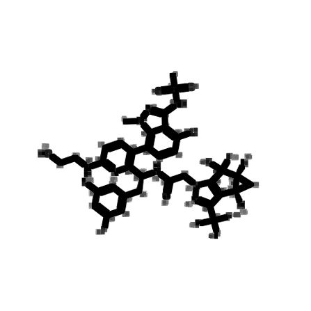 Cn1nc(NS(C)(=O)=O)c2c(Cl)ccc(-c3ccc(NCCO)nc3[C@H](Cc3cc(F)cc(F)c3)NC(=O)Cn3nc(C(F)(F)F)c4c3C(F)(F)[C@@H]3C[C@H]43)c21